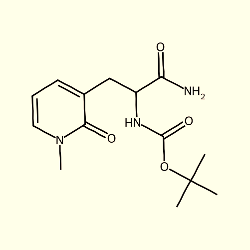 Cn1cccc(CC(NC(=O)OC(C)(C)C)C(N)=O)c1=O